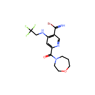 N=C(Br)c1cnc(C(=O)N2CCCOCC2)cc1NCC(F)(F)F